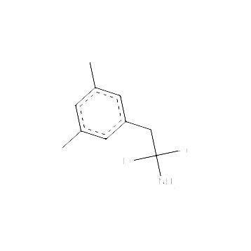 CCC(N)(CC)Cc1[c]c(C)cc(C)c1